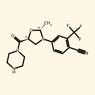 C[C@H]1O[C@H](C(=O)N2CCNCC2)CN1c1ccc(C#N)c(C(F)(F)F)c1